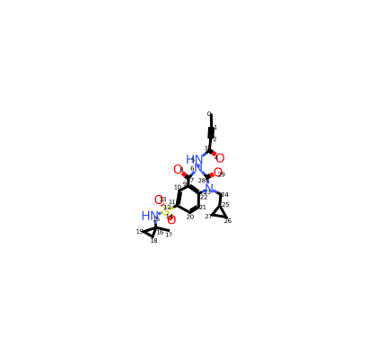 CC#CC(=O)Nn1c(=O)c2cc(S(=O)(=O)NC3(C)CC3)ccc2n(CC2CC2)c1=O